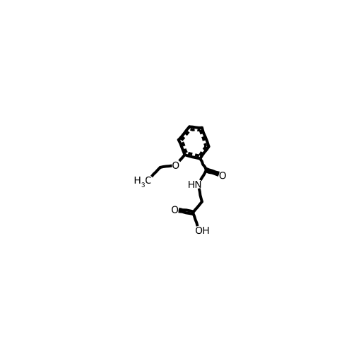 CCOc1ccccc1C(=O)NCC(=O)O